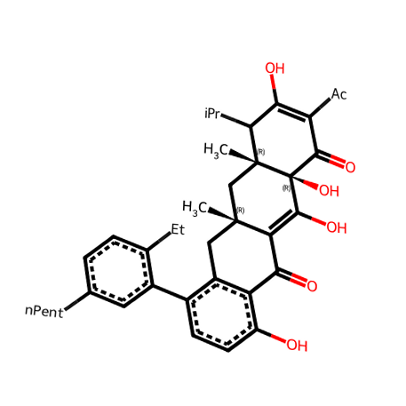 CCCCCc1ccc(CC)c(-c2ccc(O)c3c2C[C@]2(C)C[C@]4(C)C(C(C)C)C(O)=C(C(C)=O)C(=O)[C@]4(O)C(O)=C2C3=O)c1